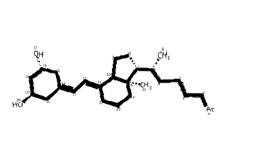 CC(=O)CCCC[C@@H](C)[C@H]1CCC2/C(=C/C=C3C[C@@H](O)C[C@H](O)C3)CCC[C@@]21C